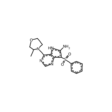 CC1COCCN1c1ncnc2c(S(=O)(=O)c3ccccc3)c(N)[nH]c12